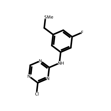 CSCc1cc(F)cc(Nc2ncnc(Cl)n2)c1